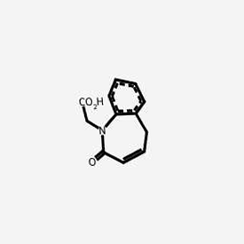 O=C(O)CN1C(=O)C=CCc2ccccc21